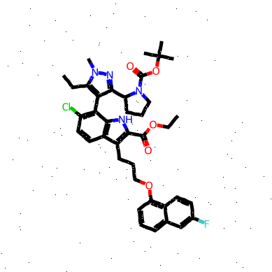 CCOC(=O)c1[nH]c2c(-c3c(C4CCCN4C(=O)OC(C)(C)C)nn(C)c3CC)c(Cl)ccc2c1CCCOc1cccc2cc(F)ccc12